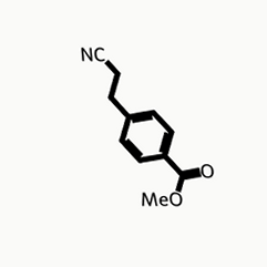 COC(=O)c1ccc(CCC#N)cc1